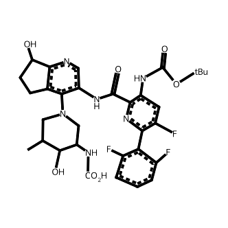 CC1CN(c2c(NC(=O)c3nc(-c4c(F)cccc4F)c(F)cc3NC(=O)OC(C)(C)C)cnc3c2CCC3O)CC(NC(=O)O)C1O